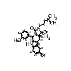 CN(C)CCCN1C(=O)N2[C@H](c3cccc(O)c3)c3[nH]c4ccc(Br)cc4c3C[C@@]2(C)C1=O